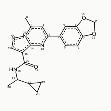 Cc1cc(-c2ccc3c(c2)OCO3)nc2c(C(=O)NC(C)C3CC3)cnn12